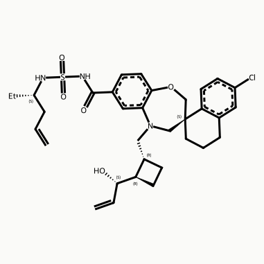 C=CC[C@H](CC)NS(=O)(=O)NC(=O)c1ccc2c(c1)N(C[C@@H]1CC[C@H]1[C@@H](O)C=C)C[C@@]1(CCCc3cc(Cl)ccc31)CO2